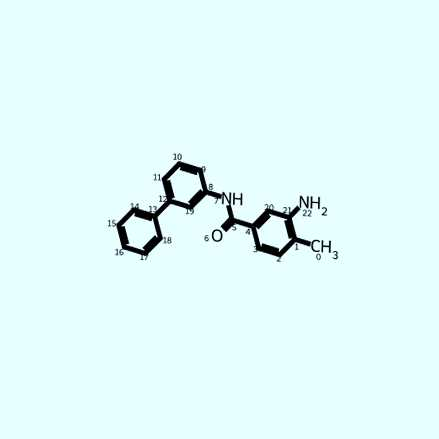 Cc1ccc(C(=O)Nc2cccc(-c3ccccc3)c2)cc1N